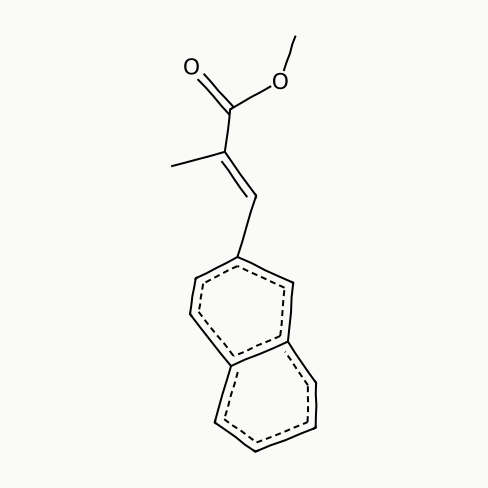 COC(=O)/C(C)=C/c1ccc2ccccc2c1